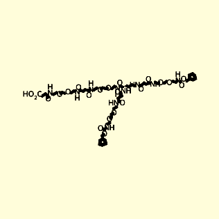 O=C(O)CCC(=O)NCCOCCOCCNC(=O)CCC(=O)NCCOCCOCCNC(=O)[C@H](CCCCNC(=O)CCC(=O)NCCOCCOCCNC(=O)OCc1ccccc1)NC(=O)CCC(=O)NCCOCCOCCNC(=O)OCc1ccccc1